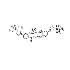 CC1=C(O)/C(=N\c2ccc(N3CCC([N+](C)(C)C)C3)cc2)C=C(Nc2ccc(N3CCC([N+](C)(C)C)C3)cc2)C1=O